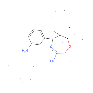 NC1=NC2(c3cccc(N)c3)CC2COC1